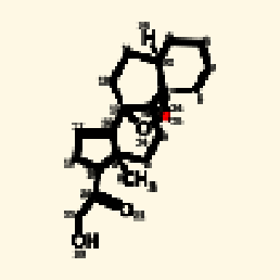 C[C@]12CC[C@@H]3[C@@]45CCCC[C@@H]4CC[C@@]3(OC5)C1=CC[C@@H]2C(=O)CO